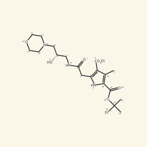 CCOC(=O)c1c(CC(=O)NC[C@H](O)CN2CCOCC2)[nH]c(C(=O)OC(C)(C)CC)c1C